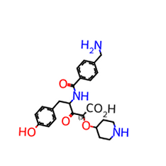 NCc1ccc(C(=O)NC(Cc2ccc(O)cc2)C(=O)[C@H](OC2CCNCC2)C(=O)O)cc1